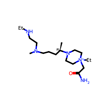 CCNCCN(C)CCC[C@@H](C)N1CC[N+](CC)(CC(N)=O)CC1